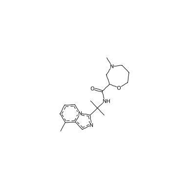 Cc1cccn2c(C(C)(C)NC(=O)C3CN(C)CCCO3)ncc12